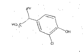 CC(C)C(C(=O)O)c1ccc(O)c(Cl)c1